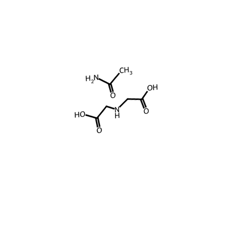 CC(N)=O.O=C(O)CNCC(=O)O